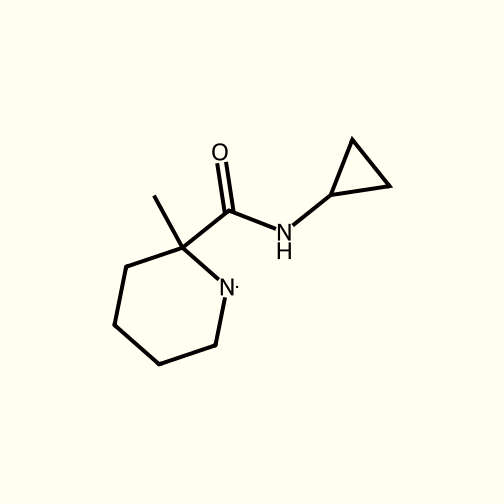 CC1(C(=O)NC2CC2)CCCC[N]1